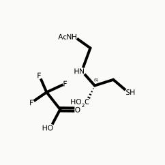 CC(=O)NCN[C@H](CS)C(=O)O.O=C(O)C(F)(F)F